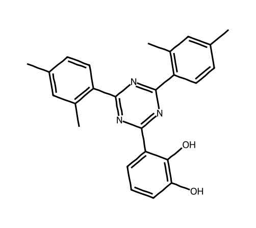 Cc1ccc(-c2nc(-c3ccc(C)cc3C)nc(-c3cccc(O)c3O)n2)c(C)c1